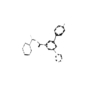 Cc1ccc(-c2cc(C(=O)N[C@H](C)C3CCCCC3)cc(-n3cnnn3)c2)cc1